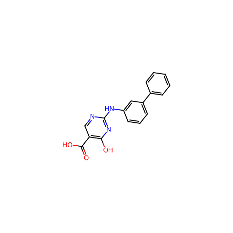 O=C(O)c1cnc(Nc2cccc(-c3ccccc3)c2)nc1O